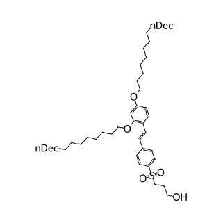 CCCCCCCCCCCCCCCCCCOc1ccc(C=Cc2ccc(S(=O)(=O)CCCO)cc2)c(OCCCCCCCCCCCCCCCCCC)c1